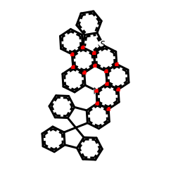 c1ccc(-c2ccccc2-c2c(-c3ccccc3)cccc2N(c2ccccc2-c2cccc3c2sc2ccccc23)c2cccc3c2-c2ccccc2C32c3ccccc3-c3ccccc32)cc1